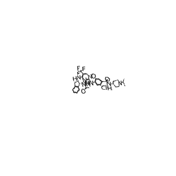 COc1cc(C(=O)NC2CCN(C(C)C)CC2)c(Cl)cc1Nc1ncc(C(F)(F)F)c(N[C@@H]2Cc3ccccc3[C@H]2NC(C)=O)n1